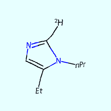 [2H]c1ncc(CC)n1CCC